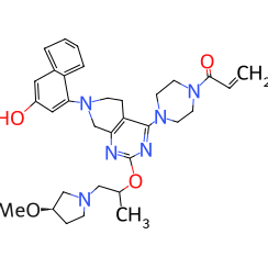 C=CC(=O)N1CCN(c2nc(OC(C)CN3CC[C@@H](OC)C3)nc3c2CCN(c2cc(O)cc4ccccc24)C3)CC1